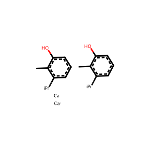 Cc1c(O)cccc1C(C)C.Cc1c(O)cccc1C(C)C.[Ca].[Ca]